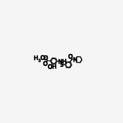 COC(=O)c1ccc(NSc2cccc(C(=O)N3CCCCC3)c2)cc1O